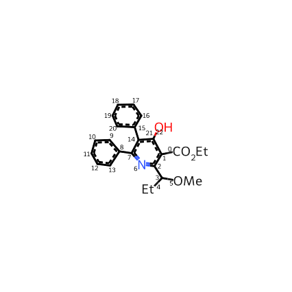 CCOC(=O)c1c(C(CC)OC)nc(-c2ccccc2)c(-c2ccccc2)c1O